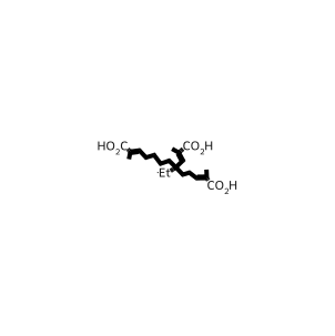 C[CH]C(C=C(C)C(=O)O)(CCC=C(C)C(=O)O)CCCCC=C(C)C(=O)O